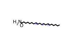 CCCCC/C=C/C/C=C/C/C=C/CCCCCCC(N)=O